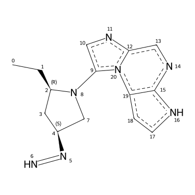 CC[C@@H]1C[C@H](N=N)CN1c1cnc2cnc3[nH]ccc3n12